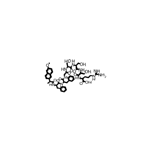 COc1ccc2cc(C(C)C(=O)NC(Cc3ccccc3)C(=O)NC(Cc3ccccc3)C(=O)NCC(=O)NC(CO)C(=O)NC(CO)C(=O)NC(CO)C(=O)NC(CCCNC(=N)N)C(=O)O)ccc2c1